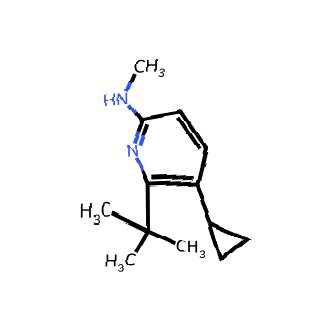 CNc1ccc(C2CC2)c(C(C)(C)C)n1